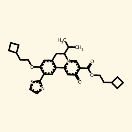 CC(C)C1Cc2cc(OCCC3CCC3)c(-c3nccs3)cc2-c2cc(=O)c(C(=O)OCCC3CCC3)cn21